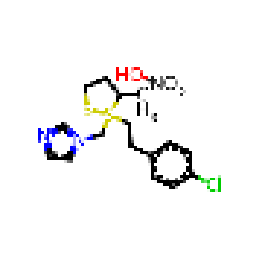 CC1CCSS1(CCc1ccc(Cl)cc1)Cn1ccnc1.O=[N+]([O-])O